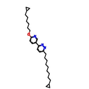 c1cc(OCCCCCCC2CC2)ncc1-c1ccc(CCCCCCCCCC2CC2)nn1